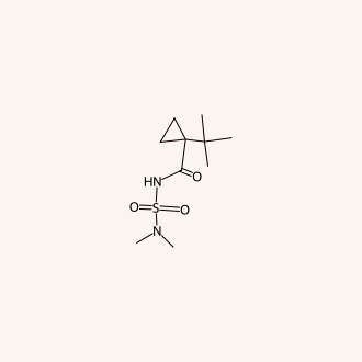 CN(C)S(=O)(=O)NC(=O)C1(C(C)(C)C)CC1